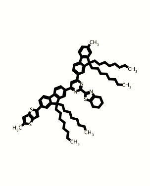 CCCCCCCCC1(CCCCCCCC)c2cc(C)ccc2-c2ccc(-c3cc(-c4ccc5c(c4)C(CCCCCCCC)(CCCCCCCC)c4cc(-c6cc7sc(C)cc7s6)ccc4-5)nc(-c4nc5c(s4)CCCC5)n3)cc21